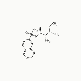 CC[C@H](C)[C@H](N)C(=O)N=S(N)(=O)c1ccc2cccnc2c1